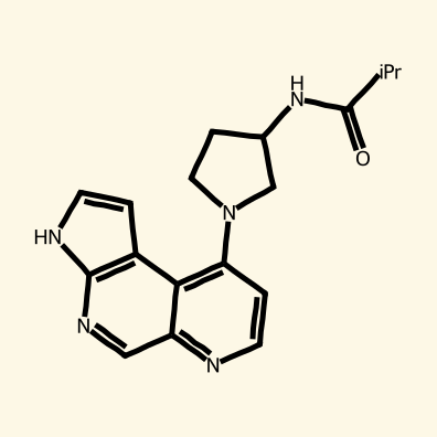 CC(C)C(=O)NC1CCN(c2ccnc3cnc4[nH]ccc4c23)C1